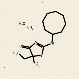 CCC1(C)SC(N[C]2CCCCCCC2)=NC1=O.[CH2].[CH2]